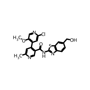 COc1cnc(Cl)cc1-c1cc(C)ncc1C(=O)Nc1nc2ccc(CO)cc2s1